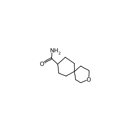 NC(=O)C1CCC2(CCOCC2)CC1